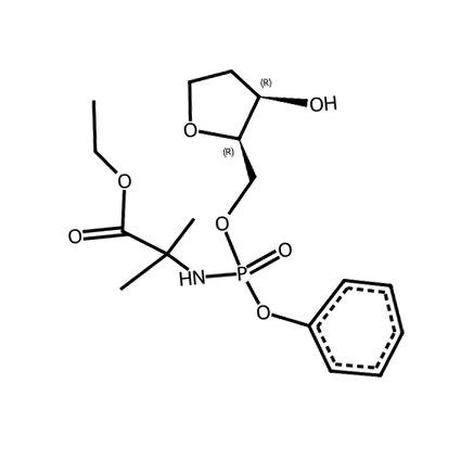 CCOC(=O)C(C)(C)NP(=O)(OC[C@H]1OCC[C@H]1O)Oc1ccccc1